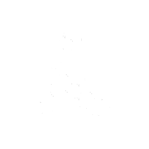 CN(c1nc(OCCc2cnn(C)c2)cc(N2CCOCC2)n1)c1ncc2ccccc2n1